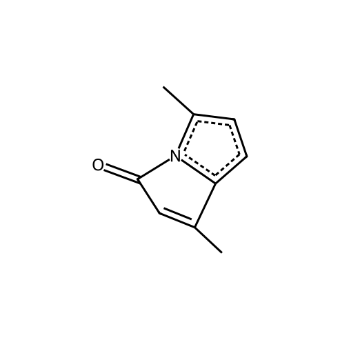 CC1=CC(=O)n2c(C)ccc21